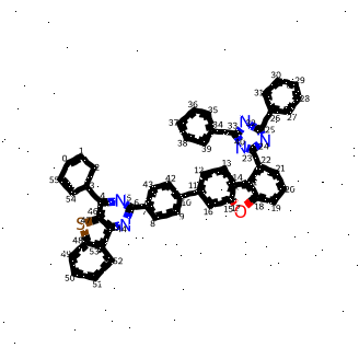 C1=CCC(c2nc(-c3ccc(-c4ccc5c(c4)oc4cccc(-c6nc(-c7ccccc7)nc(-c7ccccc7)n6)c45)cc3)nc3c2sc2ccccc23)C=C1